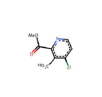 COC(=O)c1nccc(Cl)c1C(=O)O